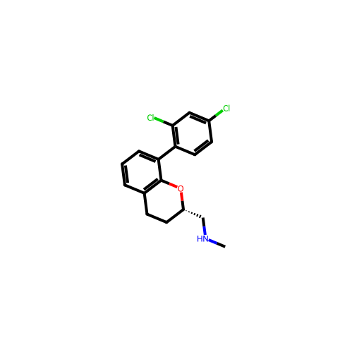 CNC[C@@H]1CCc2cccc(-c3ccc(Cl)cc3Cl)c2O1